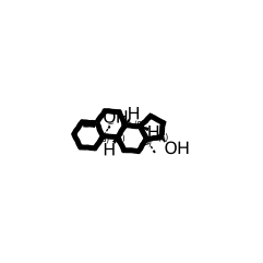 C[C@]12CC[C@H]3[C@@H](CCC4=CCCC[C@@]43CO)[C@@H]1CC[C@@H]2O